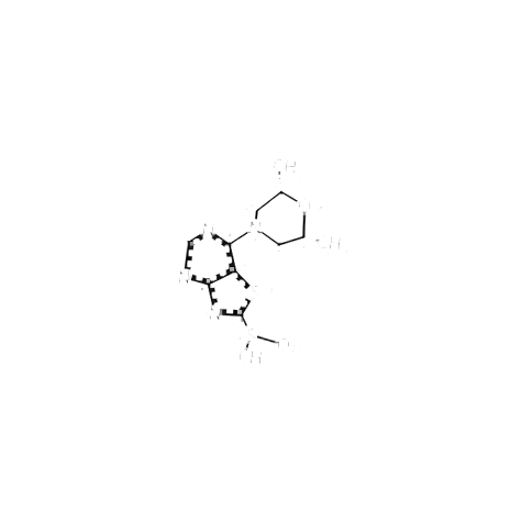 C[C@@H]1CN(c2ncnc3nc([S+](C)[O-])sc23)C[C@H](C)O1